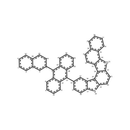 c1ccc2cc(-c3c4ccccc4c(-c4ccc5sc6ccc7oc8c9ccccc9ccc8c7c6c5c4)c4ccccc34)ccc2c1